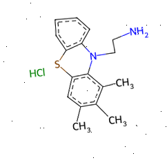 Cc1cc2c(c(C)c1C)N(CCN)c1ccccc1S2.Cl